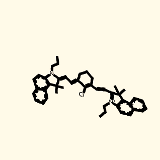 CCCN1/C(=C/C=C2\CCCC(/C=C/C3=[N+](CCC)c4ccc5ccccc5c4C3(C)C)=C2Cl)C(C)(C)c2c1ccc1ccccc21